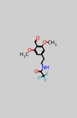 COc1cc(CCNC(=O)C(F)(F)F)cc(OC)c1C=O